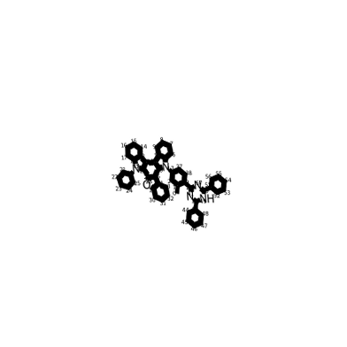 Cc1cc(-n2c3ccccc3c3c4c5ccccc5n(-c5ccccc5)c4c4oc5ccccc5c4c32)ccc1C1=NC(c2ccccc2)NC(c2ccccc2)=N1